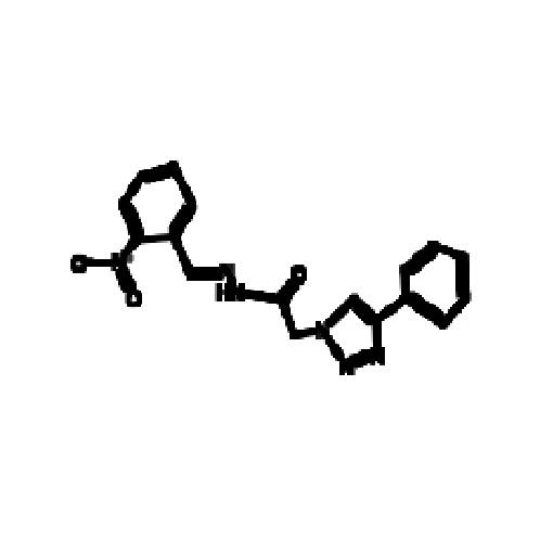 O=C(Cn1cc(-c2ccccc2)nn1)NN=Cc1ccccc1[N+](=O)[O-]